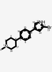 CN1CCC(c2ccc(-c3c[nH]c(Br)c3)cc2)CC1